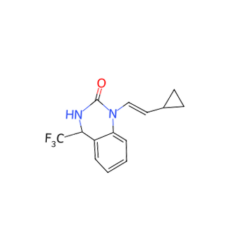 O=C1NC(C(F)(F)F)c2ccccc2N1C=CC1CC1